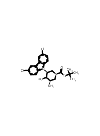 CC(C)(C)OC(=O)N1C[C@@H](N)C(O)[C@@H](n2c3ccc(Cl)cc3c3cc(Cl)ccc32)C1